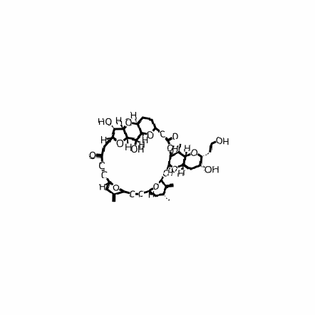 C=C1C[C@@H]2CCC(=O)C[C@H]3O[C@H]4[C@@H](O)[C@H]5OC(CC[C@@H]5O[C@H]4[C@H]3O)CC(=O)O[C@@H]3[C@@H](C)[C@@H]4O[C@H](CCO)[C@H](O)C[C@@H]4O[C@H]3CC3O[C@@H](CCC1O2)C[C@@H](C)C3=C